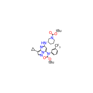 CC(C)(C)OC(=O)N1CCC[C@H](Nc2cc(N(C(=O)OC(C)(C)C)c3cccc(C(F)(F)F)c3)n3ncc(C4CC4)c3n2)C1